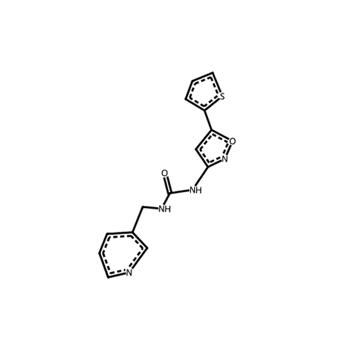 O=C(NCc1cccnc1)Nc1cc(-c2cccs2)on1